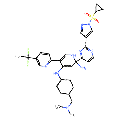 CN(C)CC1CCC(NC2=CC(N)(c3ccnc(-c4cnn(S(=O)(=O)C5CC5)c4)n3)NC=C2c2ccc(C(C)(F)F)cn2)CC1